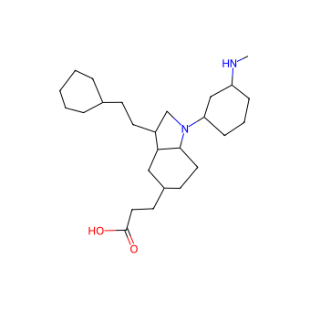 CNC1CCCC(N2CC(CCC3CCCCC3)C3CC(CCC(=O)O)CCC32)C1